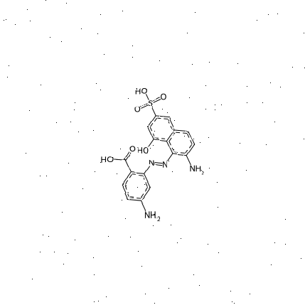 Nc1ccc(C(=O)O)c(N=Nc2c(N)ccc3cc(S(=O)(=O)O)cc(O)c23)c1